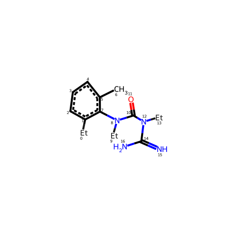 CCc1cccc(C)c1N(CC)C(=O)N(CC)C(=N)N